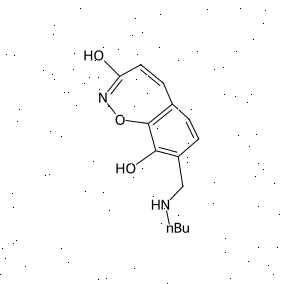 CCCCNCc1ccc2c(c1O)ON=C(O)C=C2